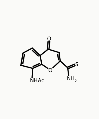 CC(=O)Nc1cccc2c(=O)cc(C(N)=S)oc12